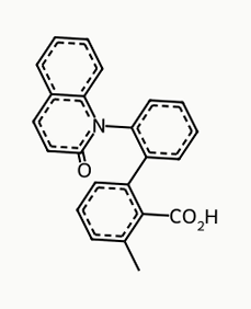 Cc1cccc(-c2ccccc2-n2c(=O)ccc3ccccc32)c1C(=O)O